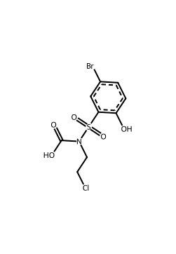 O=C(O)N(CCCl)S(=O)(=O)c1cc(Br)ccc1O